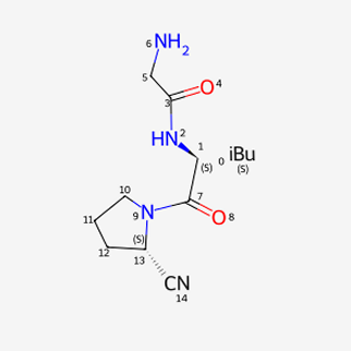 CC[C@H](C)[C@H](NC(=O)CN)C(=O)N1CCC[C@H]1C#N